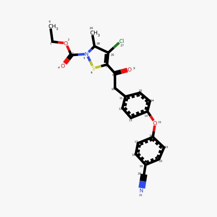 CCOC(=O)N1SC(C(=O)Cc2ccc(Oc3ccc(C#N)cc3)cc2)=C(Cl)C1C